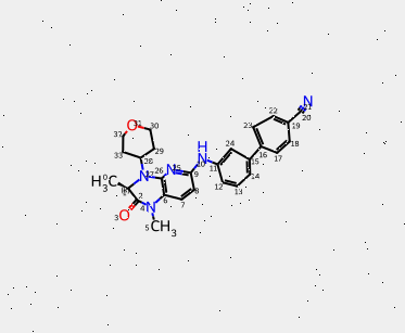 C[C@@H]1C(=O)N(C)c2ccc(Nc3cccc(-c4ccc(C#N)cc4)c3)nc2N1C1CCOCC1